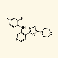 Fc1cc(I)ccc1Nc1cnccc1-c1nnc(N2CCOCC2)o1